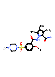 CCCc1c(C=O)c(C)c(C(N)=O)n1NC(=O)c1cc(S(=O)(=O)N2CCN(C)CC2)ccc1OCC